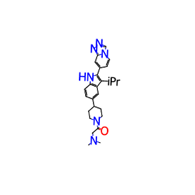 CC(C)c1c(-c2ccn3cnnc3c2)[nH]c2ccc(C3CCN(C(=O)CN(C)C)CC3)cc12